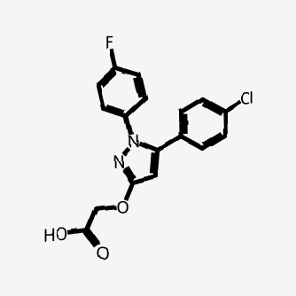 O=C(O)COc1cc(-c2ccc(Cl)cc2)n(-c2ccc(F)cc2)n1